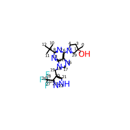 CC1(O)CCN(c2nc(C(C)(C)C)nc3c2ncn3Cc2c[nH]nc2C(F)(F)F)C1